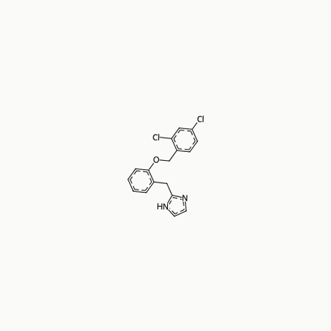 Clc1ccc(COc2ccccc2Cc2ncc[nH]2)c(Cl)c1